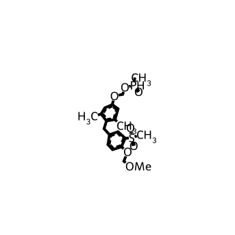 COCOc1ccc(Cc2c(C)cc(OCO[PH](C)=O)cc2C)cc1S(C)(=O)=O